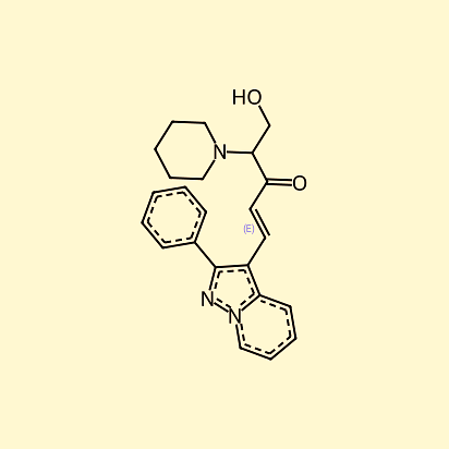 O=C(/C=C/c1c(-c2ccccc2)nn2ccccc12)C(CO)N1CCCCC1